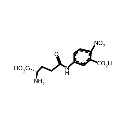 N[C@@H](CCC(=O)Nc1ccc([N+](=O)[O-])c(C(=O)O)c1)C(=O)O